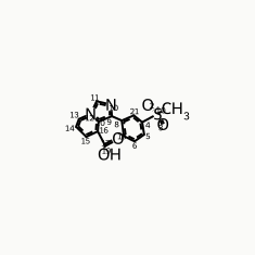 CS(=O)(=O)c1cccc(-c2ncn3cccc(C(=O)O)c23)c1